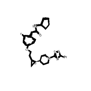 CC(C)c1noc(N2CCC([C@H]3CC3CCOc3ccc(CC(=O)NC4CCCC4)c(F)c3)CC2)n1